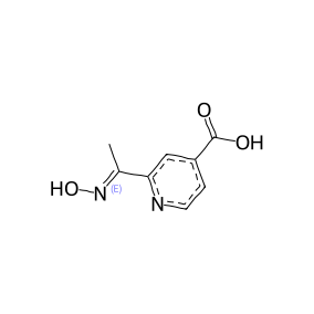 C/C(=N\O)c1cc(C(=O)O)ccn1